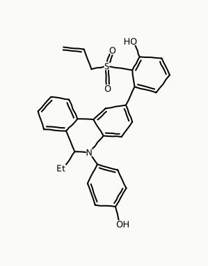 C=CCS(=O)(=O)c1c(O)cccc1-c1ccc2c(c1)-c1ccccc1C(CC)N2c1ccc(O)cc1